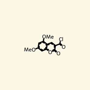 COc1cc(OC)c2cc(C(=O)Cl)c(=O)oc2c1